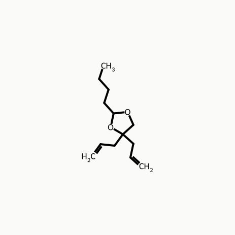 C=CCC1(CC=C)COC(CCCC)O1